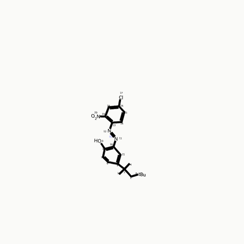 CC(C)(C)CC(C)(C)c1ccc(O)c(/N=N/c2ccc(Cl)cc2[N+](=O)[O-])c1